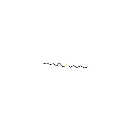 [CH2]CCCCCCSCCCCC[CH2]